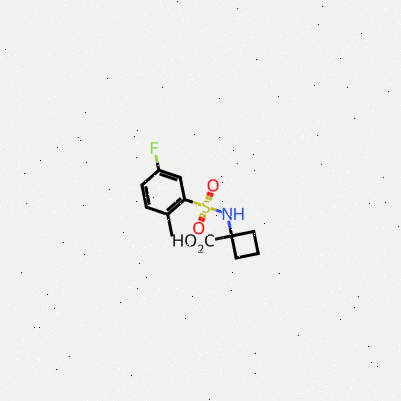 Cc1ccc(F)cc1S(=O)(=O)NC1(C(=O)O)CCC1